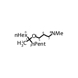 CCCCCCC(C)(CCCCC)OCCCNC